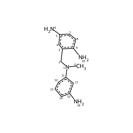 CN(Cc1cc(N)ccc1N)c1cccc(N)c1